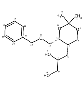 CC1(C)OC[C@H](CC(O)CO)[C@H](COCc2ccccc2)O1